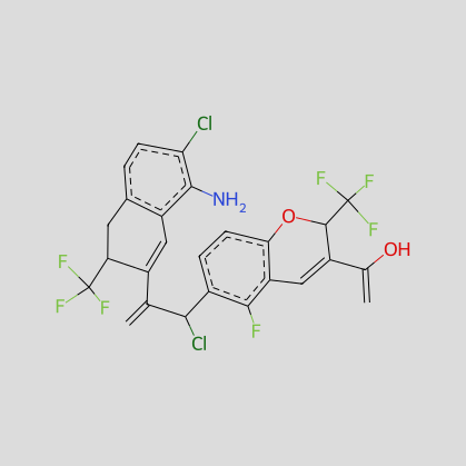 C=C(O)C1=Cc2c(ccc(C(Cl)C(=C)C3=Cc4c(ccc(Cl)c4N)CC3C(F)(F)F)c2F)OC1C(F)(F)F